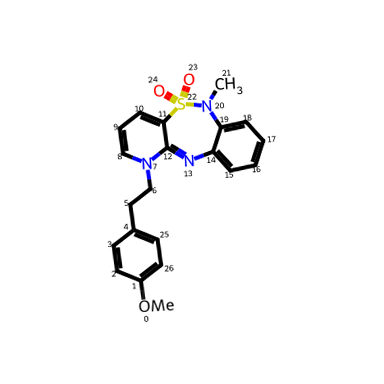 COc1ccc(CCN2C=CC=C3C2=Nc2ccccc2N(C)S3(=O)=O)cc1